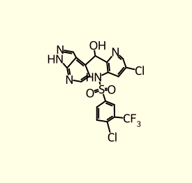 O=S(=O)(Nc1cc(Cl)cnc1C(O)c1ccnc2[nH]ncc12)c1ccc(Cl)c(C(F)(F)F)c1